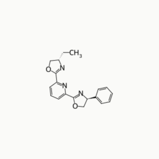 CC[C@H]1COC(c2cccc(C3=N[C@@H](c4ccccc4)CO3)n2)=N1